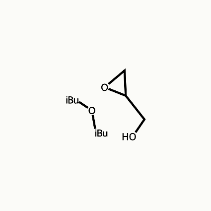 CCC(C)OC(C)CC.OCC1CO1